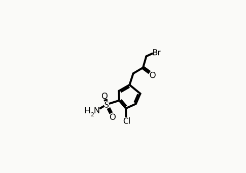 NS(=O)(=O)c1cc(CC(=O)CBr)ccc1Cl